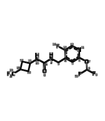 O=C(NCc1cc(OC(F)F)ncc1F)NC1CC(C(F)(F)F)C1